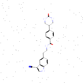 N#Cc1c[nH]c2ccc(CCNC(=O)c3ccc(C4CNC(=O)NC4)cc3)cc12